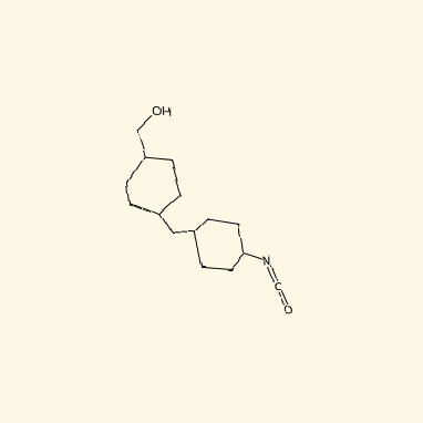 O=C=NC1CCC(CC2CCC(CO)CC2)CC1